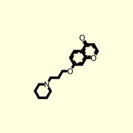 O=c1ccoc2cc(OCCCN3CCCCC3)ccc12